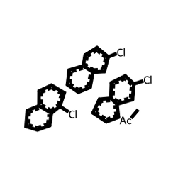 CC(C)=O.Clc1ccc2ccccc2c1.Clc1ccc2ccccc2c1.Clc1cccc2ccccc12